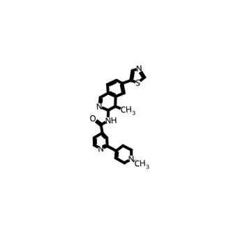 CC1c2cc(-c3cncs3)ccc2C=NC1NC(=O)c1ccnc(C2=CCN(C)CC2)c1